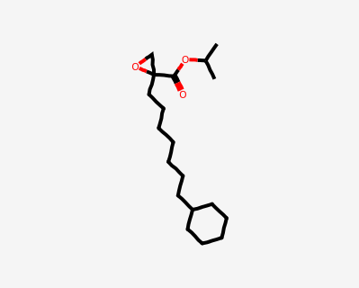 CC(C)OC(=O)C1(CCCCCCCC2CCCCC2)CO1